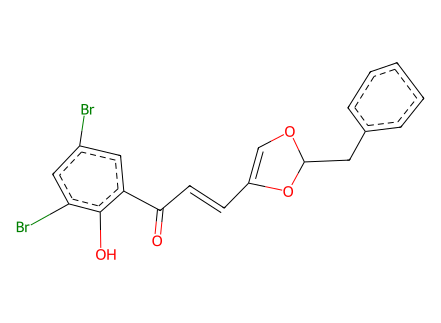 O=C(C=CC1=COC(Cc2ccccc2)O1)c1cc(Br)cc(Br)c1O